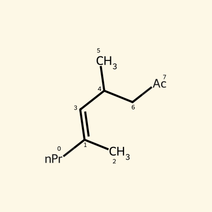 CCCC(C)=CC(C)CC(C)=O